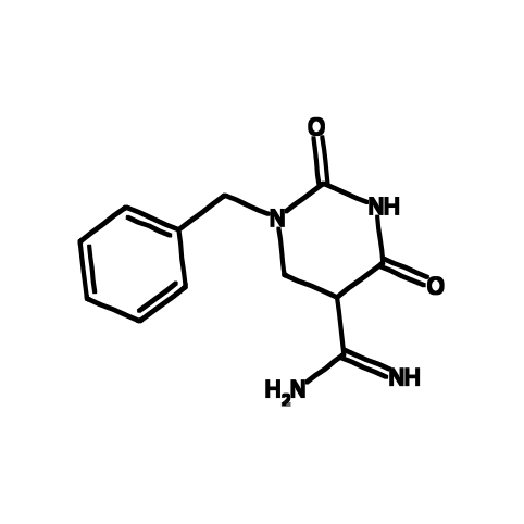 N=C(N)C1CN(Cc2ccccc2)C(=O)NC1=O